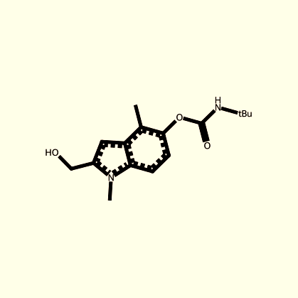 Cc1c(OC(=O)NC(C)(C)C)ccc2c1cc(CO)n2C